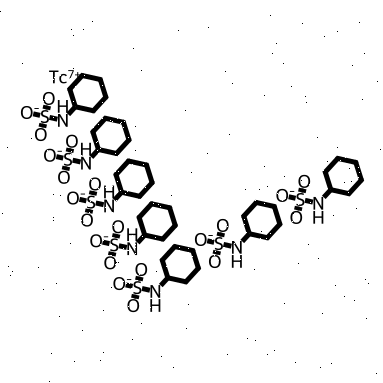 O=S(=O)([O-])NC1CCCCC1.O=S(=O)([O-])NC1CCCCC1.O=S(=O)([O-])NC1CCCCC1.O=S(=O)([O-])NC1CCCCC1.O=S(=O)([O-])NC1CCCCC1.O=S(=O)([O-])NC1CCCCC1.O=S(=O)([O-])NC1CCCCC1.[Tc+7]